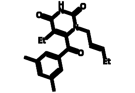 CC/C=C/Cn1c(C(=O)c2cc(C)cc(C)c2)c(CC)c(=O)[nH]c1=O